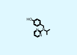 CC(C)N(Cc1ccc(O)cc1)c1ncccn1